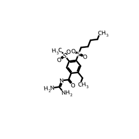 CCCCCS(=O)(=O)c1cc(CC)c(C(=O)N=C(N)N)cc1S(C)(=O)=O